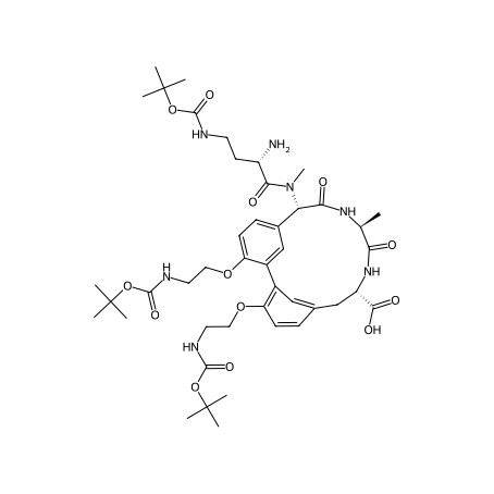 C[C@@H]1NC(=O)[C@@H](N(C)C(=O)[C@@H](N)CCNC(=O)OC(C)(C)C)c2ccc(OCCNC(=O)OC(C)(C)C)c(c2)-c2cc(ccc2OCCNC(=O)OC(C)(C)C)C[C@@H](C(=O)O)NC1=O